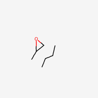 CC1CO1.CCCC